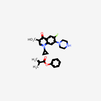 C=C(C)C(=O)Oc1ccccc1.O=C(O)c1cn(C2CC2)c2cc(N3CCNCC3)c(F)cc2c1=O